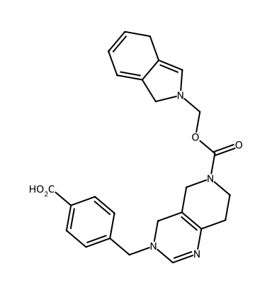 O=C(O)c1ccc(CN2C=NC3=C(C2)CN(C(=O)OCN2C=C4CC=CC=C4C2)CC3)cc1